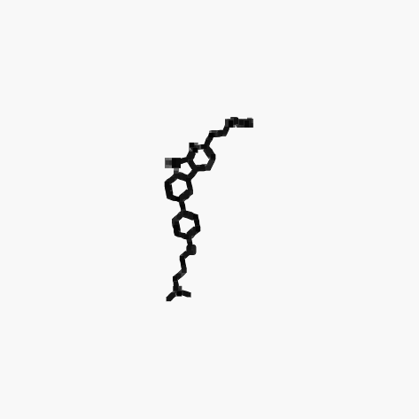 CCCCCC=Cc1ccc2c(n1)[nH]c1ccc(-c3ccc(OCCCN(C)C)cc3)cc12